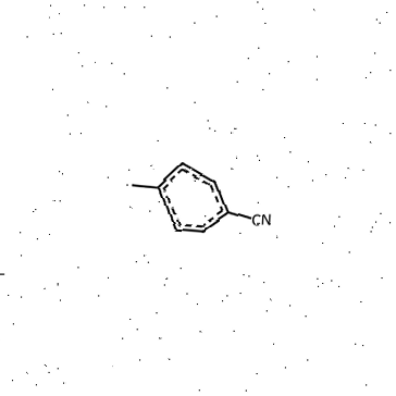 [CH2]c1ccc(C#N)cc1